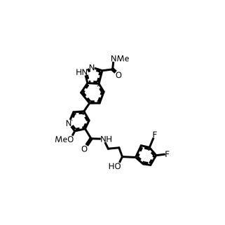 CNC(=O)c1n[nH]c2cc(-c3cnc(OC)c(C(=O)NCCC(O)c4ccc(F)c(F)c4)c3)ccc12